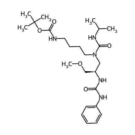 COC[C@@H](CN(CCCCNC(=O)OC(C)(C)C)C(=O)NC(C)C)NC(=O)Nc1ccccc1